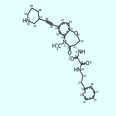 CN1C(=O)[C@@H](NC(=O)C(=O)NCCc2ccccc2)COc2ccc(C#CC3CCCNC3)cc21